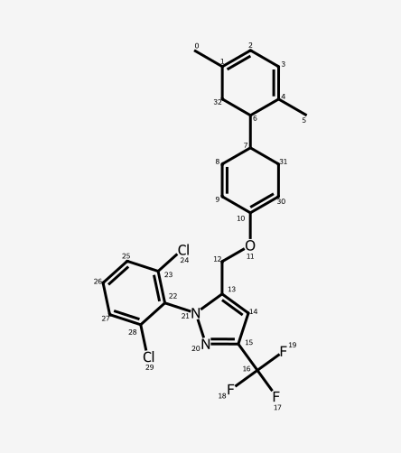 CC1=CC=C(C)C(C2C=CC(OCc3cc(C(F)(F)F)nn3-c3c(Cl)cccc3Cl)=CC2)C1